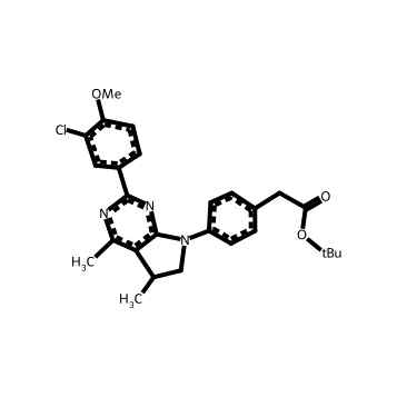 COc1ccc(-c2nc(C)c3c(n2)N(c2ccc(CC(=O)OC(C)(C)C)cc2)CC3C)cc1Cl